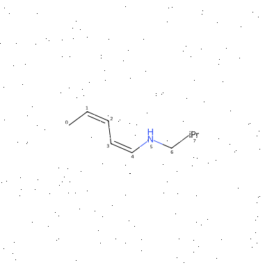 C/C=C\C=C/NCC(C)C